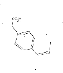 C/C=C\c1ccc(CC(=O)O)cc1